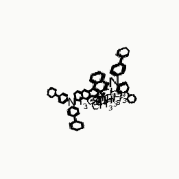 C[Si](C)(C)C1([Si](C)(C)C)c2cc3cc(N(c4ccc(C5CCCCC5)cc4)c4ccc(C5CCCCC5)cc4)ccc3cc2-c2c1cc(N(c1ccc(C3CCCCC3)cc1)c1ccc(C3CCCCC3)cc1)c1ccccc21